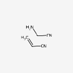 C=CC#N.N#CCN